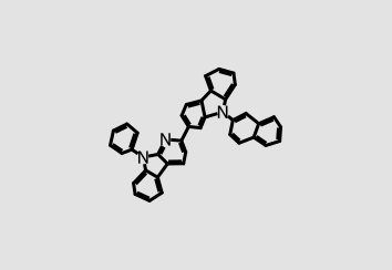 c1ccc(-n2c3ccccc3c3ccc(-c4ccc5c6ccccc6n(-c6ccc7ccccc7c6)c5c4)nc32)cc1